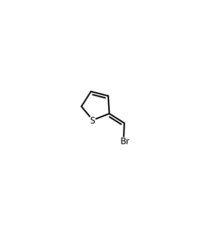 BrC=C1C=CCS1